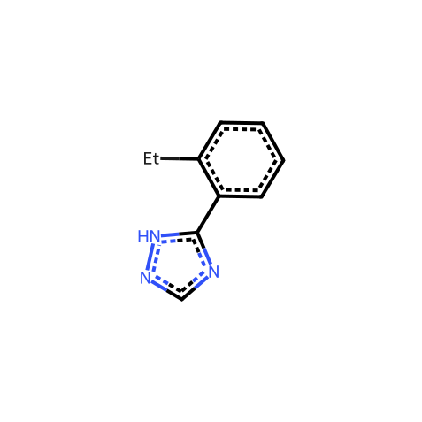 CCc1ccccc1-c1ncn[nH]1